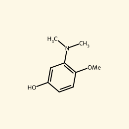 COc1ccc(O)cc1N(C)C